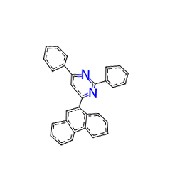 c1ccc(-c2cc(-c3cc4ccccc4c4ccccc34)nc(-c3ccccc3)n2)cc1